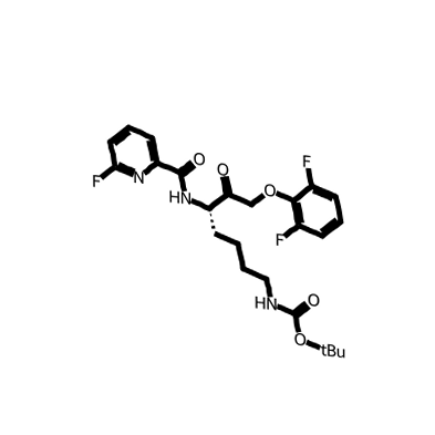 CC(C)(C)OC(=O)NCCCC[C@H](NC(=O)c1cccc(F)n1)C(=O)COc1c(F)cccc1F